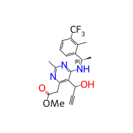 C#CC(O)c1c(CC(=O)OC)nc(C)nc1N[C@H](C)c1cccc(C(F)(F)F)c1C